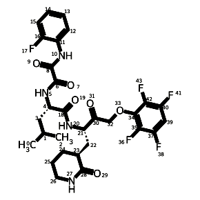 CC(C)C[C@H](NC(=O)C(=O)Nc1ccccc1F)C(=O)N[C@@H](C[C@@H]1CCCNC1=O)C(=O)COc1c(F)c(F)cc(F)c1F